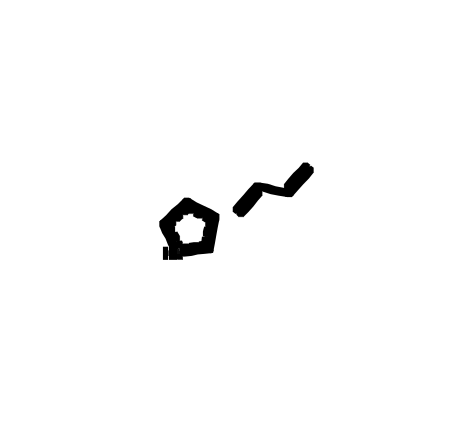 C=CC=C.c1cc[nH]c1